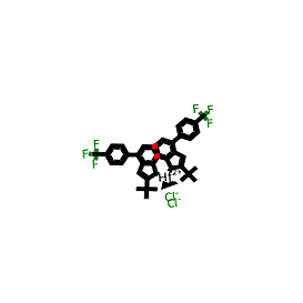 CC(C)(C)C1=Cc2c(-c3ccc(C(F)(F)F)cc3)cccc2[CH]1[Hf+2]1([CH]2C(C(C)(C)C)=Cc3c(-c4ccc(C(F)(F)F)cc4)cccc32)[CH2][CH2]1.[Cl-].[Cl-]